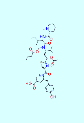 CCCC(=O)OCN(C(=O)[C@@H](NC(=O)[C@H]1CCCCN1C)C(C)CC)[C@H](C[C@@H](OC(C)=O)c1nc(C(=O)N[C@@H](Cc2ccc(O)cc2)C[C@H](C)C(=O)O)cs1)C(C)C